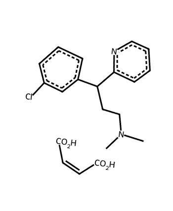 CN(C)CCC(c1cccc(Cl)c1)c1ccccn1.O=C(O)/C=C\C(=O)O